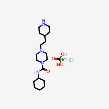 Cl.Cl.O=C(NC1CCCCC1)N1CCN(CCC2CCNCC2)CC1.O=C(O)O